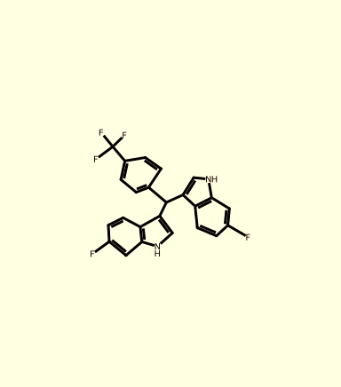 Fc1ccc2c(C(c3ccc(C(F)(F)F)cc3)c3c[nH]c4cc(F)ccc34)c[nH]c2c1